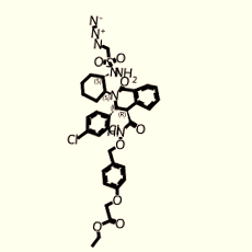 CCOC(=O)COc1ccc(CONC(=O)[C@@H]2c3ccccc3C(=O)N([C@H]3CCCC[C@@H]3N(N)S(=O)(=O)CN=[N+]=[N-])[C@H]2c2ccc(Cl)cc2Cl)cc1